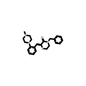 CN1CCN(c2ccccc2C=C2SCCN(Cc3ccccc3)C2=O)CC1